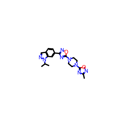 Cc1noc(N2CCN(c3nc(-c4ccc5cnn(C(C)C)c5c4)no3)CC2)n1